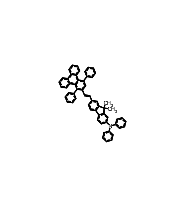 CC1(C)c2cc(/C=C/c3cc(-c4ccccc4)c4c5ccccc5c5ccccc5c4c3-c3ccccc3)ccc2-c2ccc(N(c3ccccc3)c3ccccc3)cc21